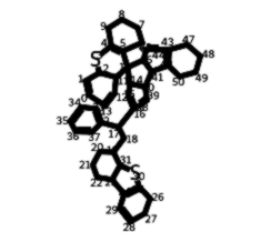 C1=CC2SC3=C(CCCC3)C3(C2C=C1)C1C=C(C(CC2CCCC4C5=C(CCC=C5)SC24)c2ccccc2)C=CC1C1C2=C(C=CC13)CCCC2